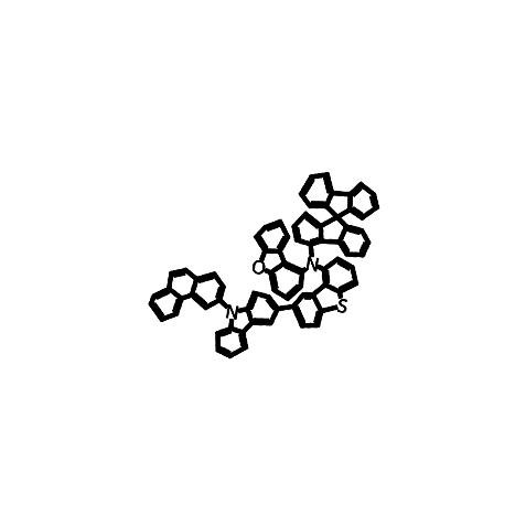 c1ccc2c(c1)-c1ccccc1C21c2ccccc2-c2c(N(c3cccc4oc5ccccc5c34)c3cccc4sc5ccc(-c6ccc7c(c6)c6ccccc6n7-c6ccc7ccc8ccccc8c7c6)cc5c34)cccc21